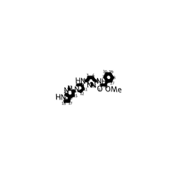 CO[C@@H](C(=O)Nc1ccc(N[C@@H]2CCN(c3cc4cc[nH]c4nn3)C2)nn1)c1ccccc1